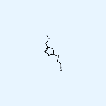 COCc1nnc(SC[C]=O)s1